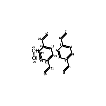 C=Cc1ccc(C=C)cc1.C=Cc1ccc(C=C)cc1.OO